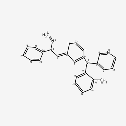 C=NN(/C=C1/C=C(N(c2cccnc2)c2ccccc2C)C=CC1)c1ccccc1